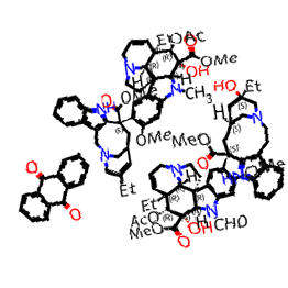 CCC1=CC2CN(C1)Cc1c([nH]c3ccccc13)[C@@](C(=O)OC)(c1cc3c(cc1OC)N(C)[C@H]1[C@@](O)(C(=O)OC)[C@H](OC(C)=O)[C@]4(CC)C=CCN5CC[C@]31[C@@H]54)C2.CC[C@]1(O)C[C@H]2CN(CCc3c([nH]c4ccccc34)[C@@](C(=O)OC)(c3cc4c(cc3OC)N(C=O)[C@H]3[C@@](O)(C(=O)OC)[C@H](OC(C)=O)[C@]5(CC)C=CCN6CC[C@]43[C@@H]65)C2)C1.O=C1c2ccccc2C(=O)c2ccccc21